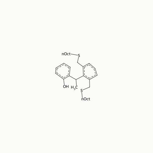 CCCCCCCCSCc1cccc(CSCCCCCCCC)c1C(C)c1ccccc1O